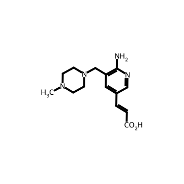 CN1CCN(Cc2cc(/C=C/C(=O)O)cnc2N)CC1